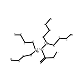 C=C(CC)[SiH](N(CCCC)CCCC)N(CCCC)CCCC